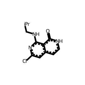 CC(C)CNc1nc(Cl)cc2cc[nH]c(=O)c12